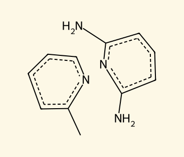 Cc1ccccn1.Nc1cccc(N)n1